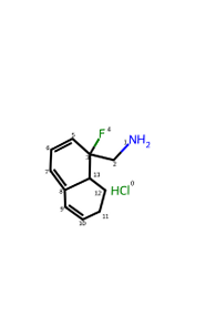 Cl.NCC1(F)C=CC=C2C=CCCC21